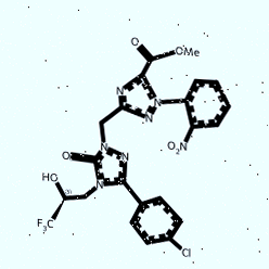 COC(=O)c1nc(Cn2nc(-c3ccc(Cl)cc3)n(C[C@H](O)C(F)(F)F)c2=O)nn1-c1ccccc1[N+](=O)[O-]